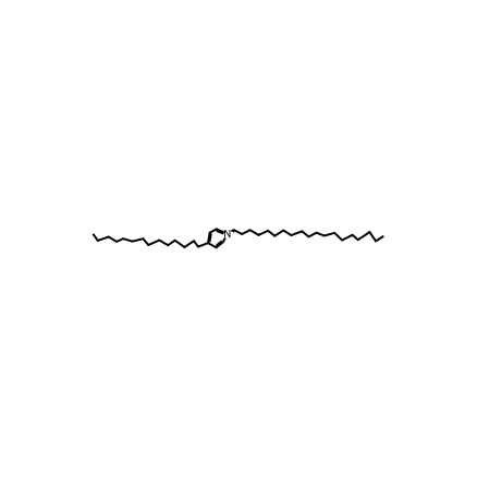 CCCCCCCCCCCCCCCCCCC[n+]1ccc(CCCCCCCCCCCCCC)cc1